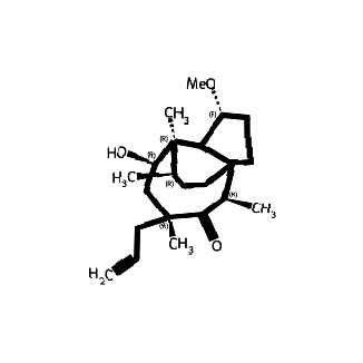 C=CC[C@]1(C)C[C@@H](O)[C@@]2(C)C3[C@H](OC)CCC3(CC[C@H]2C)[C@@H](C)C1=O